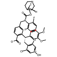 COc1ccc([C@H](Cc2c(Cl)c[n+](O)cc2Cl)c2cc(CN(C(=O)O[C@H]3CN4CCC3CC4)c3c(F)cccc3F)ccc2C(=O)[O-])cc1OC